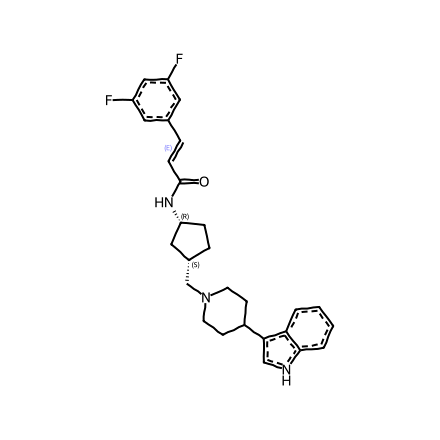 O=C(/C=C/c1cc(F)cc(F)c1)N[C@@H]1CC[C@H](CN2CCC(c3c[nH]c4ccccc34)CC2)C1